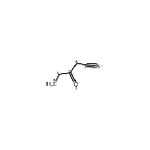 CCC(=O)CC#N